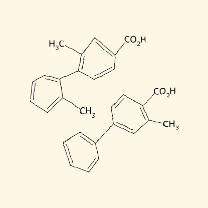 Cc1cc(-c2ccccc2)ccc1C(=O)O.Cc1ccccc1-c1ccc(C(=O)O)cc1C